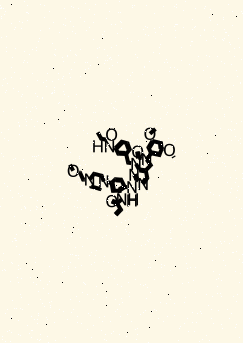 C=CC(=O)Nc1cc(N2CCN(CCOC)CC2)ccc1Nc1ncc2c(n1)N(Cc1cccc(NC(=O)CC)c1)C(=O)N(c1cc(OC)cc(OC)c1)C2